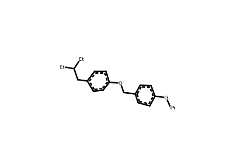 CCC(CC)Cc1ccc(OCc2ccc(OC(C)C)cc2)cc1